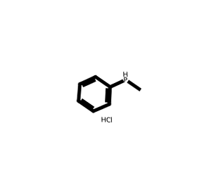 CPc1ccccc1.Cl